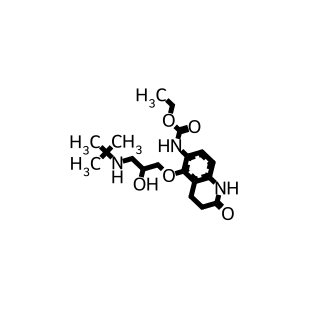 CCOC(=O)Nc1ccc2c(c1OCC(O)CNC(C)(C)C)CCC(=O)N2